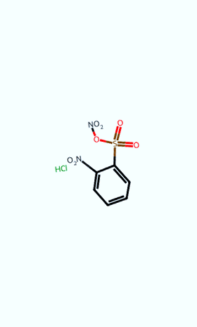 Cl.O=[N+]([O-])OS(=O)(=O)c1ccccc1[N+](=O)[O-]